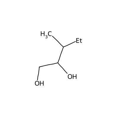 [CH2]CC(C)C(O)CO